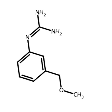 COCc1cccc(N=C(N)N)c1